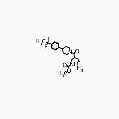 CCC(CNC(=O)OC)C(=O)N1CCC(c2ccc(C(C)(F)F)cc2)CC1